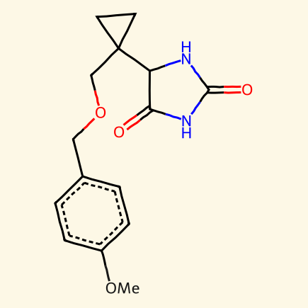 COc1ccc(COCC2(C3NC(=O)NC3=O)CC2)cc1